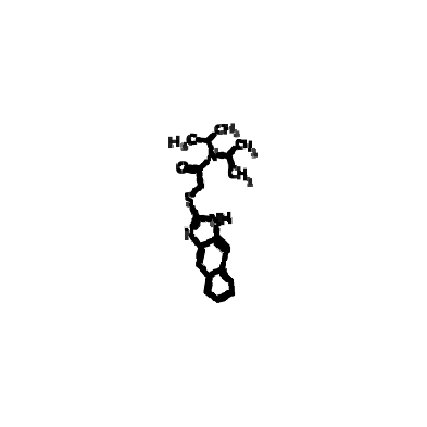 CC(C)N(C(=O)CSc1nc2cc3ccccc3cc2[nH]1)C(C)C